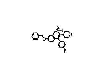 [2H][N+]1([O-])Cc2cc(OCc3ccccc3)ccc2C(c2ccc(F)cc2)=C1C1CCOCC1